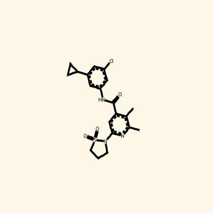 Cc1nc(N2CCCS2(=O)=O)cc(C(=O)Nc2cc(Cl)cc(C3CC3)c2)c1C